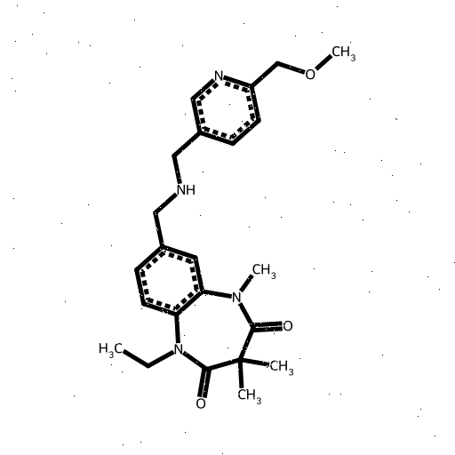 CCN1C(=O)C(C)(C)C(=O)N(C)c2cc(CNCc3ccc(COC)nc3)ccc21